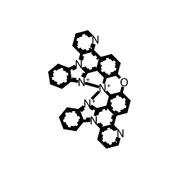 c1cnc2c3ccc4c5c3c3n(c2c1)c1ccccc1[n+]3[N+]51c2c(ccc3c5ncccc5n5c6ccccc6[n+]1c5c23)O4